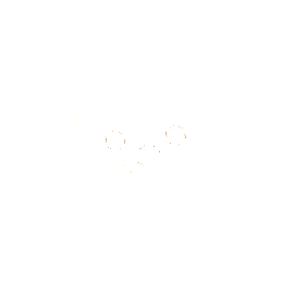 NC(=O)/C(=C\Nc1cc(Cl)cc(Cl)c1)c1ccc(OC(F)(F)F)cc1